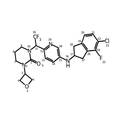 O=C1N(C2COC2)CCCN1C(c1ccc(NC2Cc3ccc(Cl)c(F)c3C2)cn1)C(F)(F)F